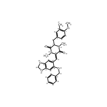 COc1ccc(CC2C(=O)N(C)C(=Cc3cc4c(cc3OCc3ccccc3)OCO4)C(=O)N2C)cc1C